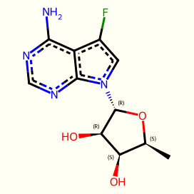 C[C@@H]1O[C@@H](n2cc(F)c3c(N)ncnc32)[C@H](O)[C@@H]1O